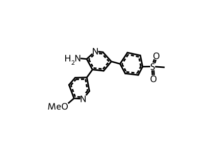 COc1ccc(-c2cc(-c3ccc(S(C)(=O)=O)cc3)cnc2N)cn1